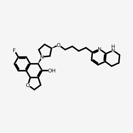 OC1=C2CCOC2c2ccc(F)cc2[C@H]1N1CC[C@@H](OCCCCc2ccc3c(n2)NCCC3)C1